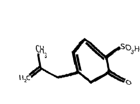 C=C(C)CC1=CC=C(S(=O)(=O)O)C(=O)C1